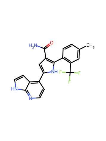 Cc1ccc(-c2[nH]c(-c3ccnc4[nH]ccc34)cc2C(N)=O)c(C(F)(F)F)c1